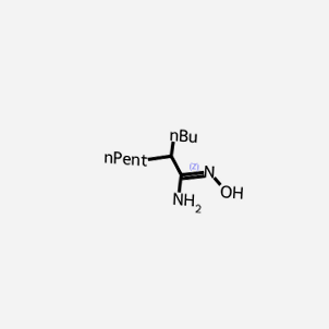 CCCCCC(CCCC)/C(N)=N/O